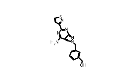 Nc1nc(-c2ccsn2)nc2nn(Cc3cccc(CO)c3)cc12